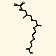 CCC(=O)NCC(F)COCC(C)OCCOCCNC(C)C